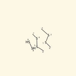 CSSC.CSSC.SS